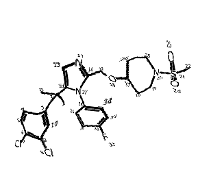 CC(C)(c1ccc(Cl)c(Cl)c1)c1cnc(COC2CCN(S(C)(=O)=O)CC2)n1-c1ccc(F)cc1